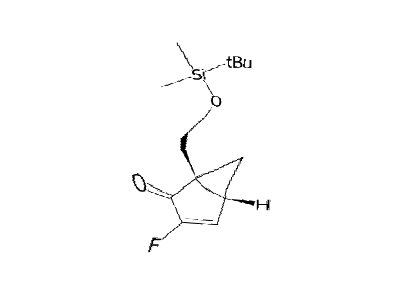 CC(C)(C)[Si](C)(C)OC[C@@]12C[C@@H]1C=C(F)C2=O